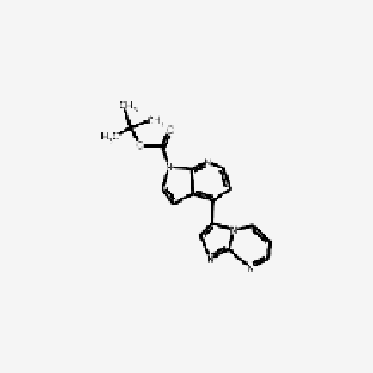 CC(C)(C)OC(=O)n1ccc2c(-c3cnc4ncccn34)ccnc21